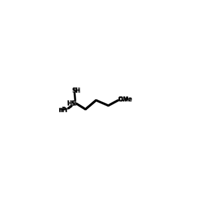 CCC[SiH](S)CCCOC